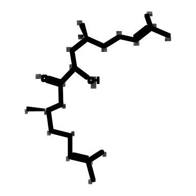 CC(C)=CCC[C@H](C)CC(=O)C(O)C[C@@H](C)CCC=C(C)C